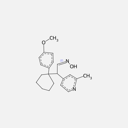 COc1ccc(C2(C(/C=N\O)c3ccnc(C)c3)CCCCC2)cc1